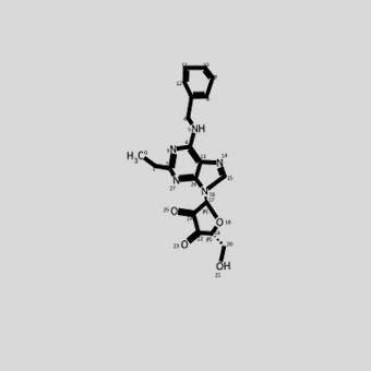 CCc1nc(NCc2ccccc2)c2ncn([C@@H]3O[C@H](CO)C(=O)C3=O)c2n1